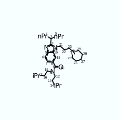 CCCC(CCC)c1nc2ccc(C(=O)N(CCC(C)C)CCC(C)C)cc2n1CCCN1CCCCC1